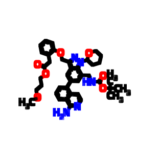 COCCCOC(=O)Cc1ccccc1OCc1nn(C2CCCCO2)c2c(CNC(=O)OC(C)(C)C)cc(-c3cccc4c(N)nccc34)cc12